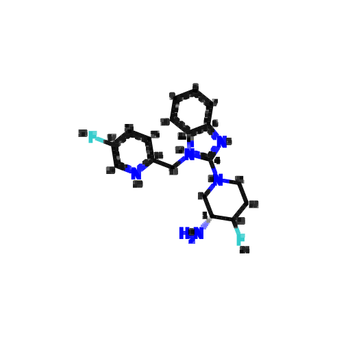 N[C@@H]1CN(c2nc3ccccc3n2Cc2ccc(F)cn2)CCC1F